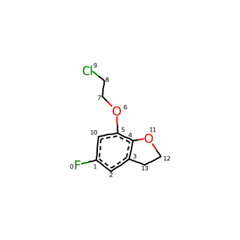 Fc1cc2c(c(OCCCl)c1)OCC2